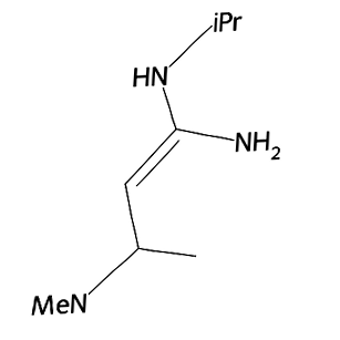 CNC(C)/C=C(\N)NC(C)C